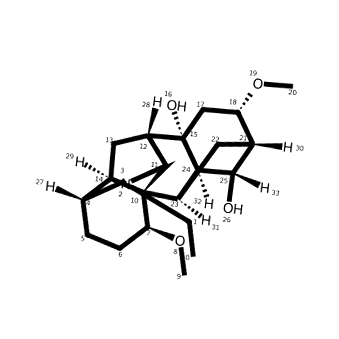 CCN1C[C@@H]2CC[C@H](OC)[C@]34C1[C@H](C[C@H]23)[C@@]1(O)C[C@H](OC)[C@H]2C[C@@H]4[C@@H]1[C@H]2O